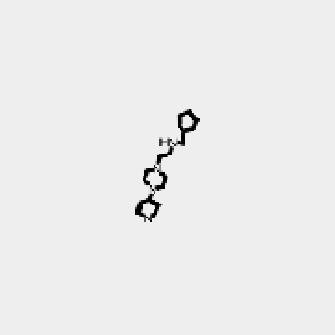 c1ccc(CNCCN2CCN(c3ccncc3)CC2)cc1